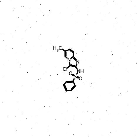 Cc1ccc2nc(NS(=O)(=O)c3ccccc3)c(Cl)n2c1